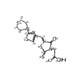 O=C(O)CN1C(=O)C(=Cc2csc(N3CCSCC3)n2)SC1=S